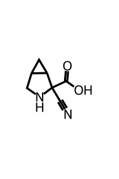 N#CC1(C(=O)O)NCC2CC21